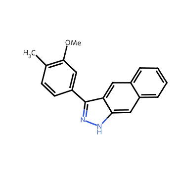 COc1cc(-c2n[nH]c3cc4ccccc4cc23)ccc1C